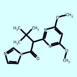 COc1cc(OC)nc(C(C(=O)n2ccnc2)C(C)(C)C)n1